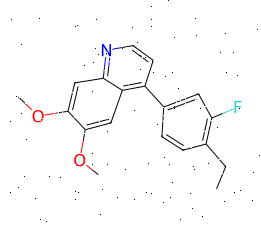 CCc1ccc(-c2ccnc3cc(OC)c(OC)cc23)cc1F